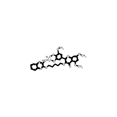 COc1cc(OC)c2c(=O)c(OCCCCCOc3nc4ccccc4nc3O)c(-c3cc(OC)c(OC)c(OC)c3)oc2c1